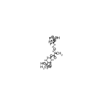 C=C(COCCC(F)(F)C(F)(F)S(=O)(=O)O)C(=O)OC1CCC(C(C)(O)C(F)(F)F)CC1